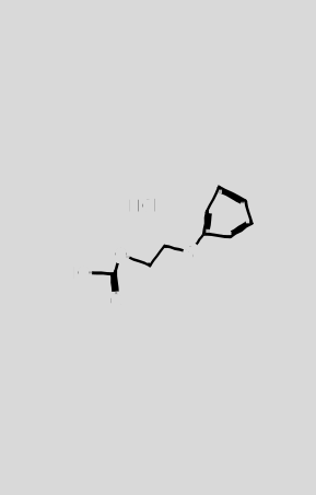 Cl.O=C(O)OCCSc1ccccc1